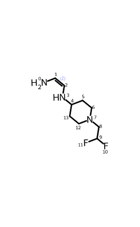 N/C=C\NC1CCN(CC(F)F)CC1